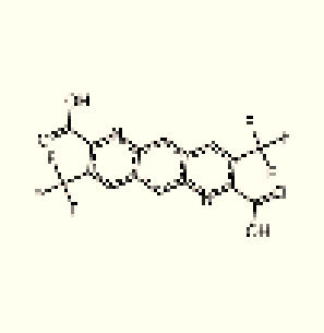 O=C(O)c1nc2cc3cc(C(F)(F)F)c(C(=O)O)nc3cc2cc1C(F)(F)F